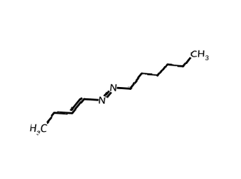 CCC=CN=NCCCCCC